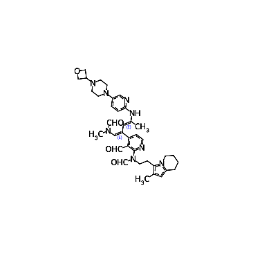 C/C(=C\C(=C/N(C)C=O)c1ccnc(N(C=O)CCc2c(C)cc3n2CCCC3)c1C=O)Nc1ccc(N2CCN(C3COC3)CC2)cn1